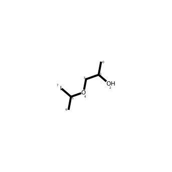 CC(O)COC(C)I